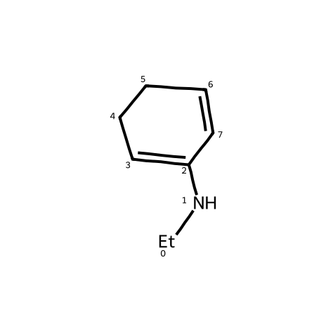 CCNC1=CCCC=C1